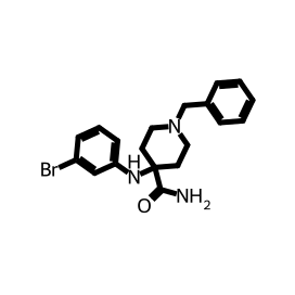 NC(=O)C1(Nc2cccc(Br)c2)CCN(Cc2ccccc2)CC1